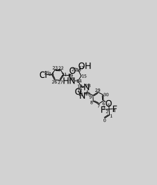 C=CC(F)(F)Oc1ccc(-c2noc(C(CCO)NC(=O)c3ccc(Cl)cc3)n2)cc1